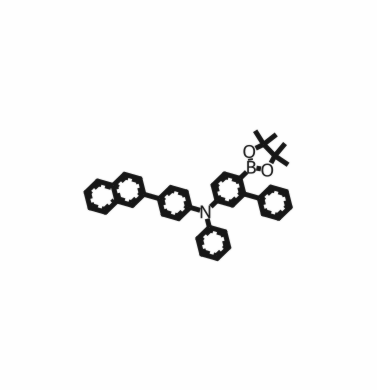 CC1(C)OB(c2ccc(N(c3ccccc3)c3ccc(-c4ccc5ccccc5c4)cc3)cc2-c2ccccc2)OC1(C)C